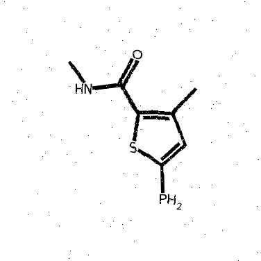 CNC(=O)c1sc(P)cc1C